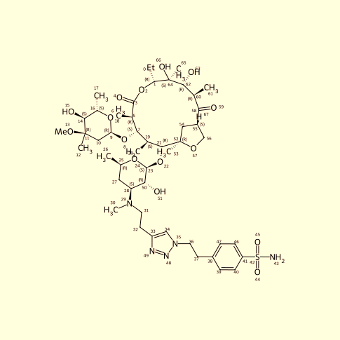 CC[C@H]1OC(=O)[C@H](C)[C@@H](O[C@H]2C[C@@](C)(OC)[C@@H](O)[C@H](C)O2)[C@H](C)[C@@H](O[C@@H]2O[C@H](C)C[C@H](N(C)CCc3cn(CCc4ccc(S(N)(=O)=O)cc4)nn3)[C@H]2O)[C@@]2(C)C[C@@H](CO2)C(=O)[C@H](C)[C@@H](O)[C@]1(C)O